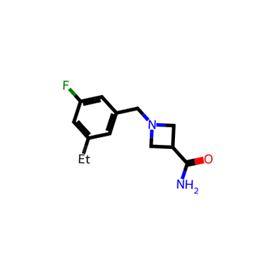 CCc1cc(F)cc(CN2CC(C(N)=O)C2)c1